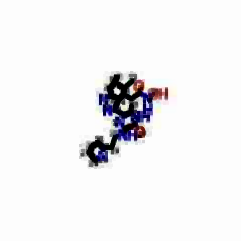 C=c1cc2c(c(CC(=O)NO)c1C)=C(c1nc(NCCc3ccccn3)c(=O)[nH]c1C)N=N2